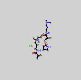 C=C(C)C(=O)NCCCN(C)C.C=C(C)C(=O)NCCC[N+](C)(C)CCCCCCCCCCCC.O=C1CCCN1.[Cl-]